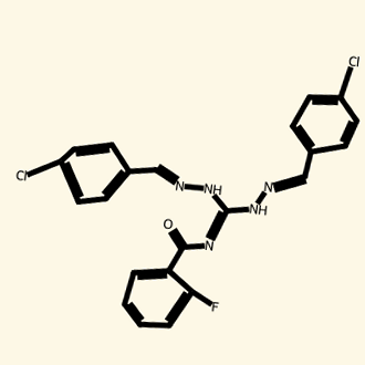 O=C(N=C(NN=Cc1ccc(Cl)cc1)NN=Cc1ccc(Cl)cc1)c1ccccc1F